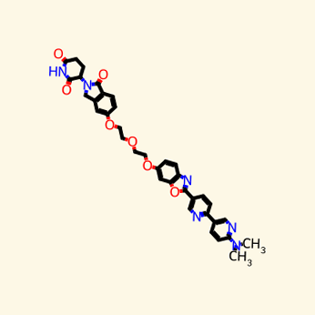 CN(C)c1ccc(-c2ccc(-c3nc4ccc(OCCOCCOc5ccc6c(c5)CN(C5CCC(=O)NC5=O)C6=O)cc4o3)cn2)cn1